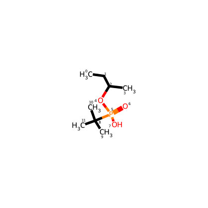 CCC(C)OP(=O)(O)C(C)(C)C